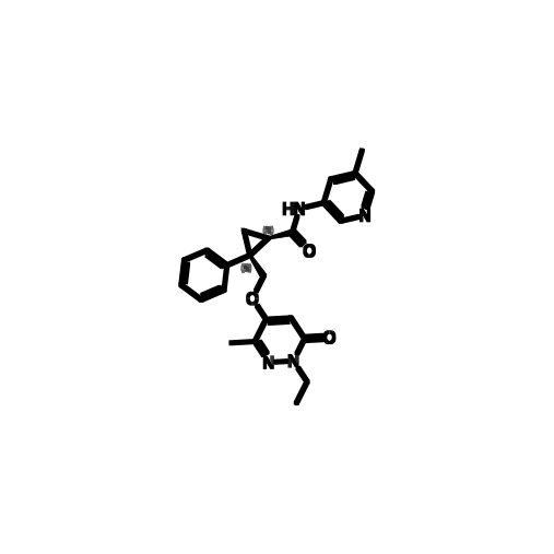 CCn1nc(C)c(OC[C@@]2(c3ccccc3)C[C@H]2C(=O)Nc2cncc(C)c2)cc1=O